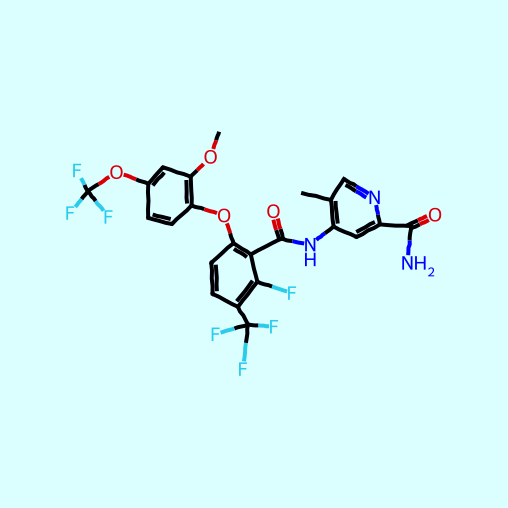 COc1cc(OC(F)(F)F)ccc1Oc1ccc(C(F)(F)F)c(F)c1C(=O)Nc1cc(C(N)=O)ncc1C